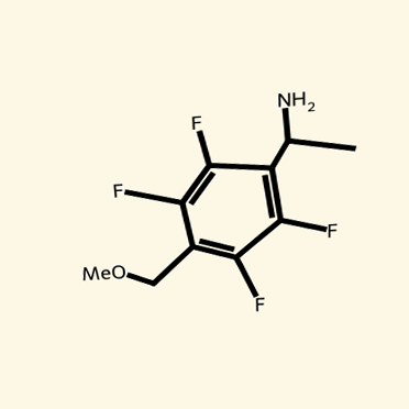 COCc1c(F)c(F)c(C(C)N)c(F)c1F